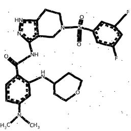 CN(C)c1ccc(C(=O)Nc2n[nH]c3c2CN(S(=O)(=O)c2cc(F)cc(F)c2)CC3)c(NC2CCOCC2)c1